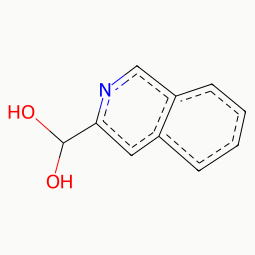 OC(O)c1cc2ccccc2cn1